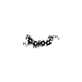 Cc1nnc(-c2cc(-c3ccc(S(=O)(=O)N4CC[C@@H](Nc5ncc(C(F)(F)F)cc5C)[C@@H](O)C4)cc3)ccn2)o1